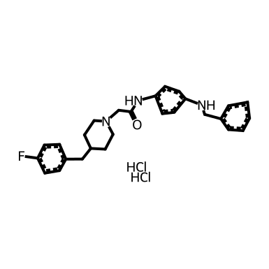 Cl.Cl.O=C(CN1CCC(Cc2ccc(F)cc2)CC1)Nc1ccc(NCc2ccccc2)cc1